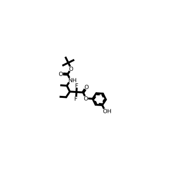 CCC(C(C)NC(=O)OC(C)(C)C)C(F)(F)C(=O)Oc1cccc(O)c1